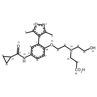 Cc1noc(C)c1-c1cc(NC(=O)C2CC2)ccc1OCCN(CCO)CCC(=O)O